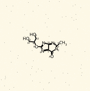 CC1=NC(=O)C2=NC(OC(CO)CO)=NC2=N1